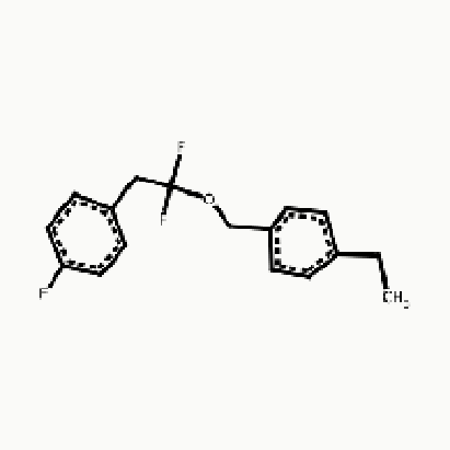 CCc1ccc(COC(F)(F)Cc2ccc(F)cc2)cc1